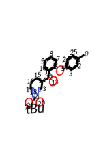 Cc1ccc(Oc2ccccc2C(=O)[C@@H]2CCCN(C(=O)OC(C)(C)C)C2)cc1